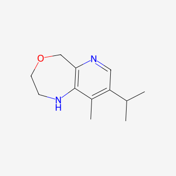 Cc1c(C(C)C)cnc2c1NCCOC2